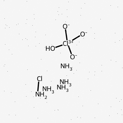 N.N.N.N.NCl.[O-][Cl+3]([O-])([O-])O